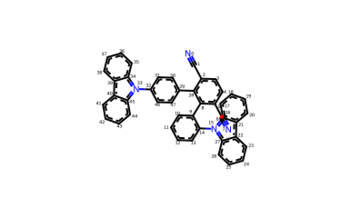 N#Cc1ccc(C#N)c(-c2ccccc2-n2c3ccccc3c3ccccc32)c1-c1ccc(-n2c3ccccc3c3ccccc32)cc1